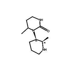 CC1CCNC(=O)N1[C@@H]1CCCN[C@@H]1C